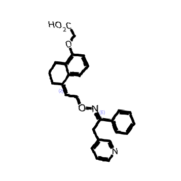 O=C(O)COc1cccc2c1CCC/C2=C/CO/N=C(\Cc1cccnc1)c1ccccc1